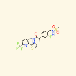 CC(C(=O)NCc1ccc(C(F)(F)F)nc1-c1cccs1)c1ccc(CNS(C)(=O)=O)c(F)c1